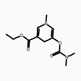 CCOC(=O)C1=CN(C)C=C(OC(=S)N(C)C)C1